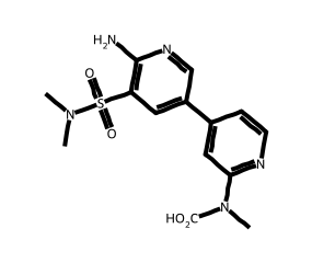 CN(C(=O)O)c1cc(-c2cnc(N)c(S(=O)(=O)N(C)C)c2)ccn1